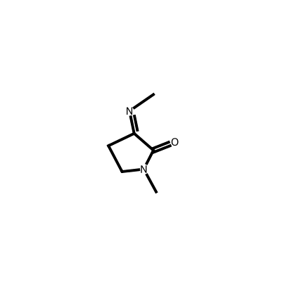 CN=C1CCN(C)C1=O